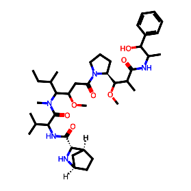 CCC(C)C(C(CC(=O)N1CCC[C@H]1C(OC)C(C)C(=O)NC(C)C(O)c1ccccc1)OC)N(C)C(=O)C(NC(=O)[C@H]1N[C@@H]2CC[C@H]1C2)C(C)C